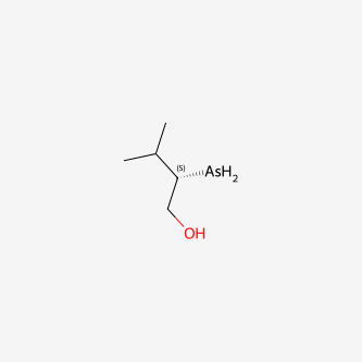 CC(C)[C@H]([AsH2])CO